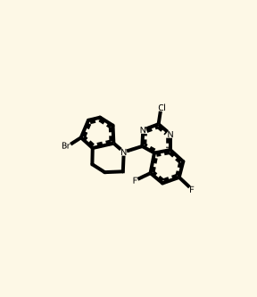 Fc1cc(F)c2c(N3CCCc4c(Br)cccc43)nc(Cl)nc2c1